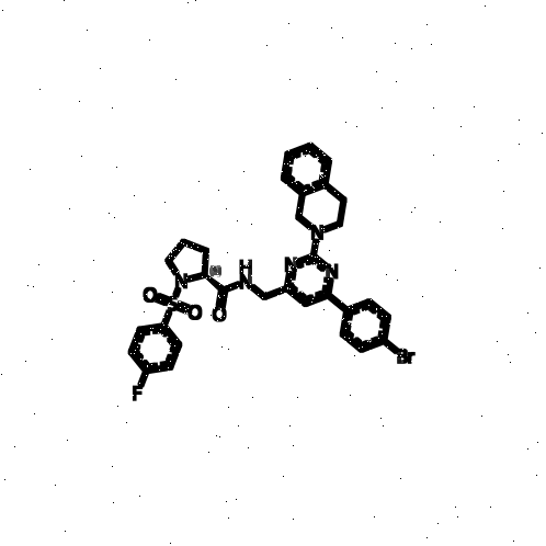 O=C(NCc1cc(-c2ccc(Br)cc2)nc(N2CCc3ccccc3C2)n1)[C@@H]1CCCN1S(=O)(=O)c1ccc(F)cc1